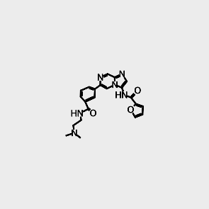 CN(C)CCNC(=O)c1cccc(-c2cn3c(NC(=O)c4ccco4)cnc3cn2)c1